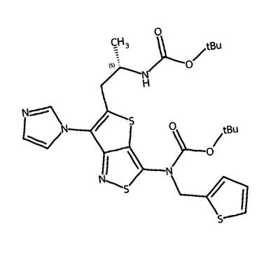 C[C@@H](Cc1sc2c(N(Cc3cccs3)C(=O)OC(C)(C)C)snc2c1-n1ccnc1)NC(=O)OC(C)(C)C